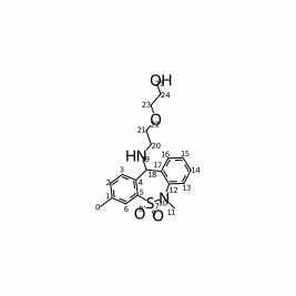 Cc1ccc2c(c1)S(=O)(=O)N(C)c1ccccc1C2NCCOCCO